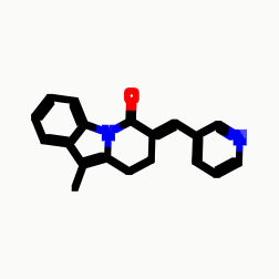 Cc1c2n(c3ccccc13)C(=O)/C(=C/c1cccnc1)CC2